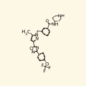 Cc1cc(-c2nc(-c3ccc(OC(F)(F)F)cc3)no2)nn1Cc1cccc(C(=O)NC2CCNCC2)c1